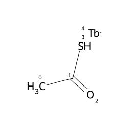 CC(=O)S.[Tb]